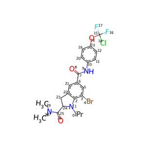 CC(C)N1c2c(Br)cc(C(=O)Nc3ccc(OC(F)(F)Cl)cc3)cc2CC1C(=O)N(C)C